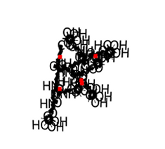 C[C@@H]1O[C@@H](OCCNC(=O)CN(CC(=O)NCCCC[C@H](NC(=O)[C@H](CCCCNC(=O)N(CC(=O)NCCO[C@@H]2O[C@@H](C)[C@@H](O)[C@@H](O)[C@@H]2O)CC(=O)NCCO[C@@H]2O[C@@H](C)[C@@H](O)[C@@H](O)[C@@H]2O)NC(=O)CN(CC(=O)NCCO[C@@H]2O[C@@H](C)[C@@H](O)[C@@H](O)[C@@H]2O)CC(=O)NCCO[C@@H]2O[C@@H](C)[C@@H](O)[C@@H](O)[C@@H]2O)C(=O)NCCCCCC(=O)O)CC(=O)NCCO[C@@H]2O[C@@H](C)[C@@H](O)[C@@H](O)[C@@H]2O)[C@@H](O)[C@H](O)[C@@H]1O